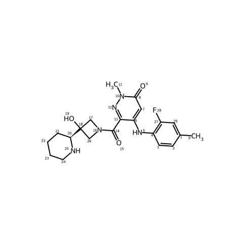 Cc1ccc(Nc2cc(=O)n(C)nc2C(=O)N2CC(O)([C@@H]3CCCCN3)C2)c(F)c1